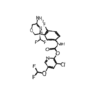 NC1=N[C@@](c2cc(NC(=O)Oc3ncc(OC(F)F)cc3Cl)ccc2F)(C(F)F)COC1